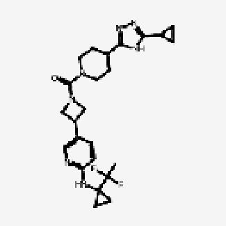 CC(F)(F)C1(Nc2ccc(C3CN(C(=O)N4CCC(c5nnc(C6CC6)[nH]5)CC4)C3)cn2)CC1